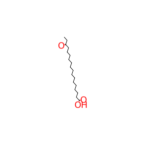 CCC(=O)CCCCCCCCCCCCCCC(=O)O